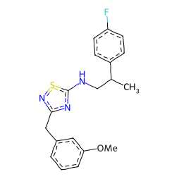 COc1cccc(Cc2nsc(NCC(C)c3ccc(F)cc3)n2)c1